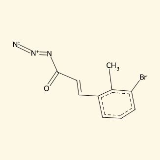 Cc1c(Br)cccc1C=CC(=O)N=[N+]=[N-]